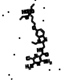 CCO[PH](O)(CCCOc1ccc2nc(CNC(=O)c3nc(Cl)c(N)nc3N)n(CC)c2c1)OCC